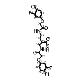 O=C(COc1ccc(Cl)c(F)c1)NCCC(CNC(=O)COc1ccc(Cl)c(F)c1)C(=O)O